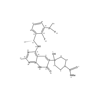 CNC(=O)C1CCC(O)(c2cc3c(N[C@H](C)c4cccc(C(C)F)c4F)nc(C)nc3[nH]c2=O)CC1